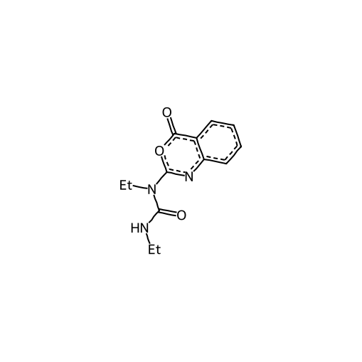 CCNC(=O)N(CC)c1nc2ccccc2c(=O)o1